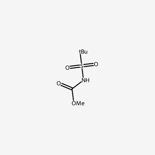 COC(=O)NS(=O)(=O)C(C)(C)C